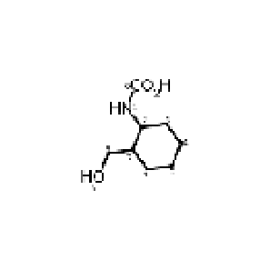 O=C(O)NC1CCCCC1CO